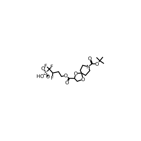 CC(C)(C)OC(=O)N1CCC2(CC1)OCC(C(=O)OCCC(F)C(F)(F)S(=O)(=O)O)O2